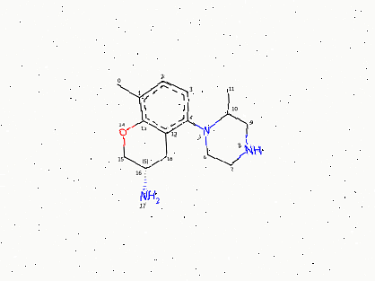 Cc1ccc(N2CCNCC2C)c2c1OC[C@@H](N)C2